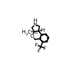 C[C@@]12CNC[C@@H]1c1cccc(C(F)(F)F)c1CO2